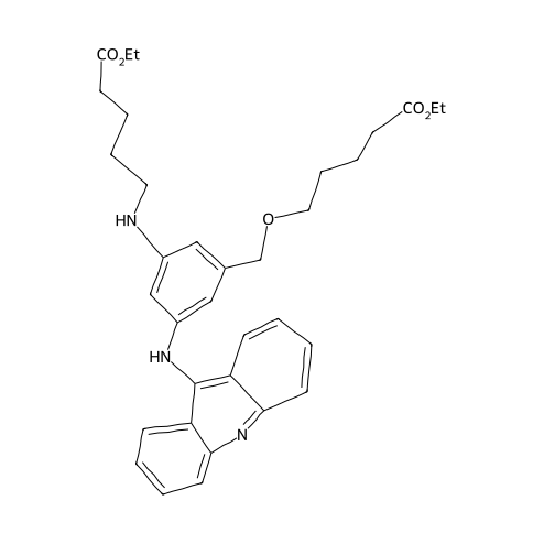 CCOC(=O)CCCCNc1cc(COCCCCC(=O)OCC)cc(Nc2c3ccccc3nc3ccccc23)c1